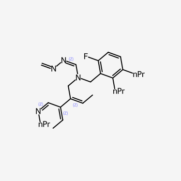 C=N/N=C\N(CC(=C\C)/C(/C=N\CCC)=C/C)Cc1c(F)ccc(CCC)c1CCC